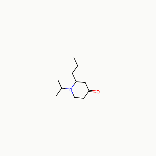 CCCC1CC(=O)CCN1C(C)C